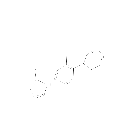 NC1=NC=C[SH]1c1ccc(-c2cncc(Cl)c2)c(C(F)(F)F)c1